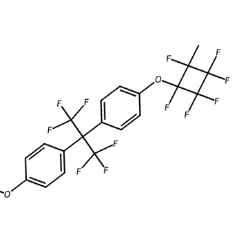 COc1ccc(C(c2ccc(OC3(F)C(C)(F)C(F)(F)C3(F)F)cc2)(C(F)(F)F)C(F)(F)F)cc1